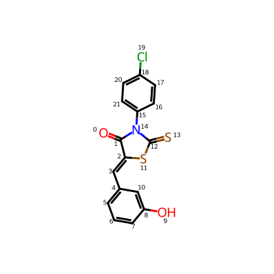 O=C1C(=Cc2cccc(O)c2)SC(=S)N1c1ccc(Cl)cc1